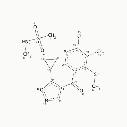 CNS(C)(=O)=O.CSc1c(C(=O)c2cnoc2C2CC2)ccc(Cl)c1C